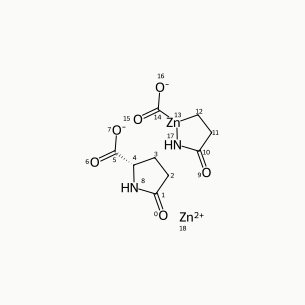 O=C1CC[C@@H](C(=O)[O-])N1.O=C1C[CH2][Zn]([C](=O)[O-])[NH]1.[Zn+2]